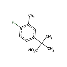 Cc1cc(C(C)(C)C(=O)O)ccc1F